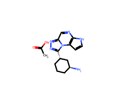 CC(=O)O.N[C@H]1CCC[C@H](c2nnc3cnc4[nH]ccc4n23)C1